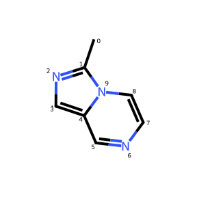 Cc1n[c]c2cnccn12